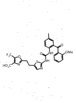 COc1ccccc1C(=O)c1cc(C)ccc1NC(=O)Nc1ncc(CCc2nc(C(=O)O)c(C(F)(F)F)o2)s1